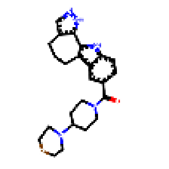 O=C(c1ccc2[nH]c3c(c2c1)CCCc1cn[nH]c1-3)N1CCC(N2CCSCC2)CC1